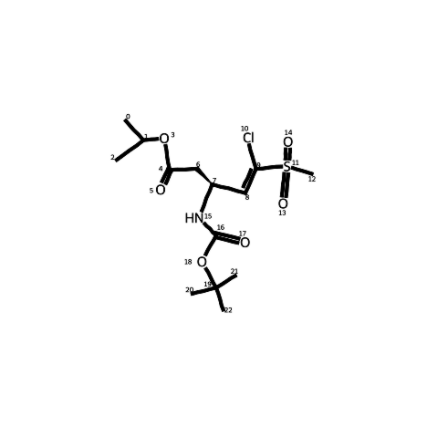 CC(C)OC(=O)C[C@@H](/C=C(\Cl)S(C)(=O)=O)NC(=O)OC(C)(C)C